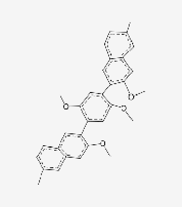 COc1cc(-c2cc3ccc(C)cc3cc2OC)c(OC)cc1-c1cc2ccc(C)cc2cc1OC